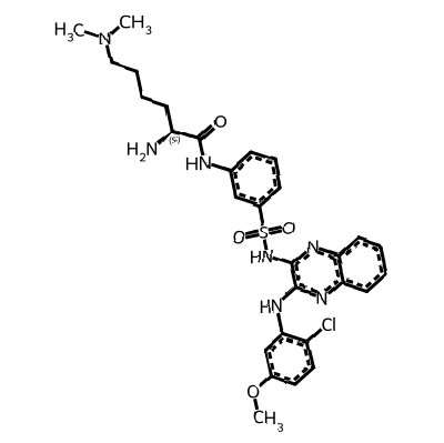 COc1ccc(Cl)c(Nc2nc3ccccc3nc2NS(=O)(=O)c2cccc(NC(=O)[C@@H](N)CCCCN(C)C)c2)c1